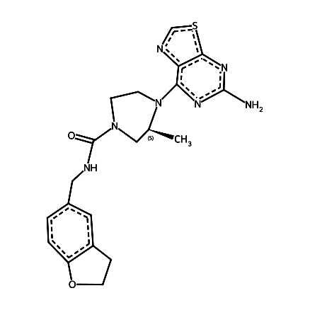 C[C@H]1CN(C(=O)NCc2ccc3c(c2)CCO3)CCN1c1nc(N)nc2scnc12